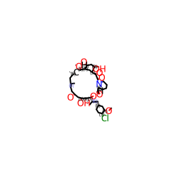 CO[C@H]1C[C@@H](C)C/C(C)=C/CC(=O)C[C@H](O)[C@@H](C)[C@@H](/C(C)=C/[C@@H]2CC[C@H](Cl)[C@H](OC)C2)OC(=O)[C@@H]2CCCCN2C(=O)C(=O)[C@]2(O)C[C@H]1[C@@H](OC)C[C@H]2C